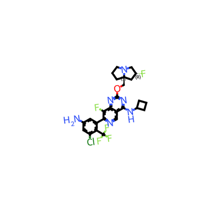 Nc1cc(Cl)c(C(F)(F)F)c(-c2ncc3c(NC4CCC4)nc(OC[C@@]45CCCN4C[C@H](F)C5)nc3c2F)c1